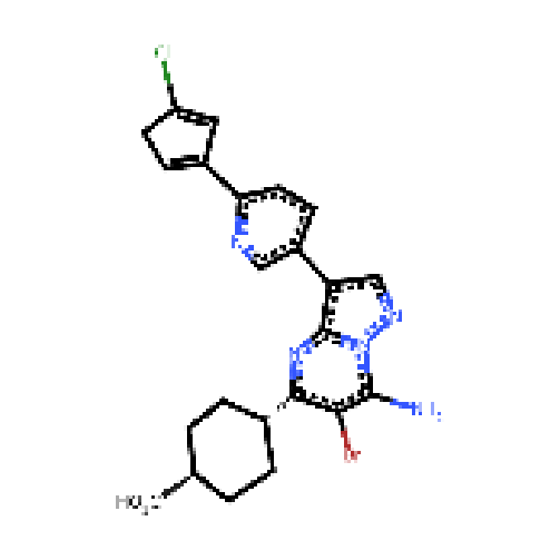 Nc1c(Br)c([C@H]2CC[C@H](C(=O)O)CC2)nc2c(-c3ccc(C4=CCC(Cl)=C4)nc3)cnn12